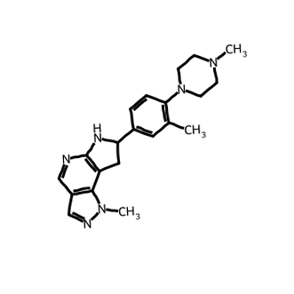 Cc1cc(C2Cc3c(ncc4cnn(C)c34)N2)ccc1N1CCN(C)CC1